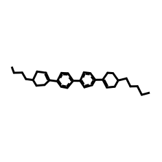 CCCCCC1CC=C(c2ccc(-c3ccc(C4=CCC(CCCC)CC4)cc3)cc2)CC1